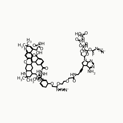 CC[C@@H](OC(OC(F)N=[N+]=[N-])O[PH](=O)O[PH](=O)O[PH](=O)O)N1CC(C#CCNC(=O)COCCOC(COC2C=C(C(=O)NNC(=O)C3=CC=C(C(=O)O)C(C4=c5cc6c(cc5OC5CC7NC(C)(C)CC(CS(=O)(=O)O)C7CC45)=NC(C)(C)C=C6CS(=O)(=O)O)C3)C=CC2)N=[N+]=[N-])C2C(N)=NC=NC21